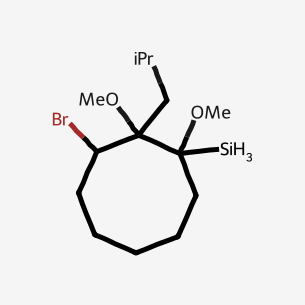 COC1([SiH3])CCCCCC(Br)C1(CC(C)C)OC